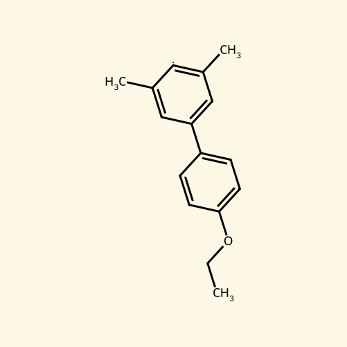 CCOc1ccc(-c2cc(C)[c]c(C)c2)cc1